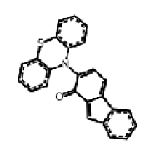 O=C1C2=Cc3ccccc3C2=CC=C1N1c2ccccc2Sc2ccccc21